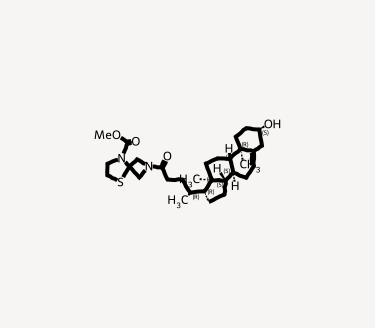 COC(=O)N1CCSC12CN(C(=O)CC[C@@H](C)[C@H]1CC[C@H]3[C@@H]4CC=C5C[C@@H](O)CC[C@]5(C)[C@H]4CC[C@]13C)C2